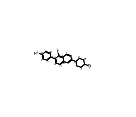 CCC1CCC(c2ccc3c(F)c(-c4ccc(C#N)cc4)ccc3c2)CC1